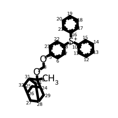 CC1(OCOc2ccc([S+](c3ccccc3)c3ccccc3)cc2)C2CC3CC(C2)CC1C3